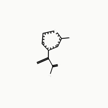 C=C(C(N)=O)c1ccnc(F)c1